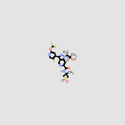 C[C@@H](n1nc(-c2cc(OC(F)F)ncc2F)c2cnc(C(=O)NC3(C)CS(=O)(=O)C3)cc21)C(C)(C)O